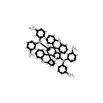 Cc1cccc(N(c2cccc(C)c2)c2cc3c(s2)C2(c4ccccc4Oc4ccccc42)c2cc(N(c4cccc(C)c4)c4cccc(C)c4)sc2C32c3ccccc3Oc3ccccc32)c1